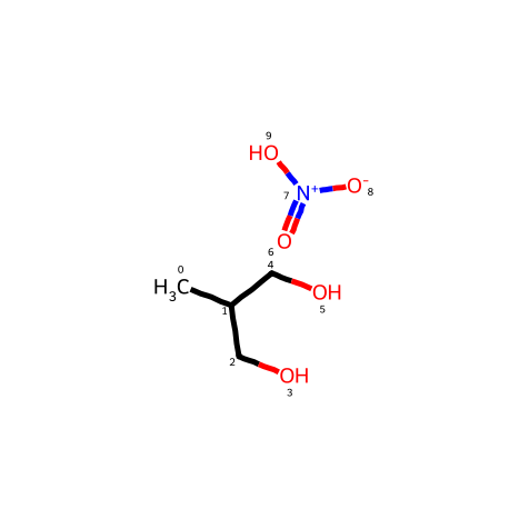 CC(CO)CO.O=[N+]([O-])O